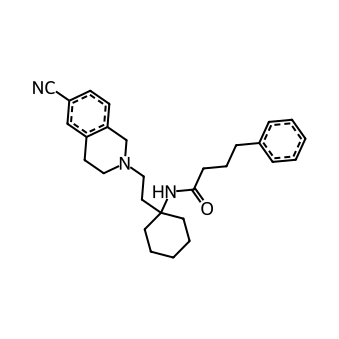 N#Cc1ccc2c(c1)CCN(CCC1(NC(=O)CCCc3ccccc3)CCCCC1)C2